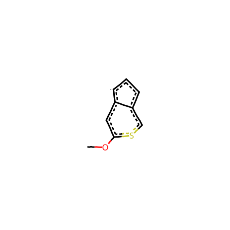 COc1cc2[c]ccc-2cs1